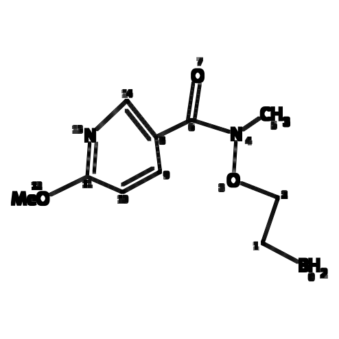 BCCON(C)C(=O)c1ccc(OC)nc1